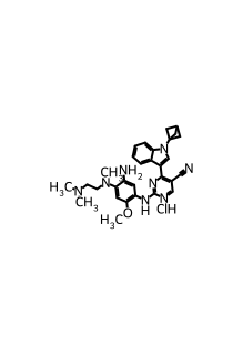 COc1cc(N(C)CCN(C)C)c(N)cc1Nc1ncc(C#N)c(-c2cn(C34CC(C3)C4)c3ccccc23)n1.Cl